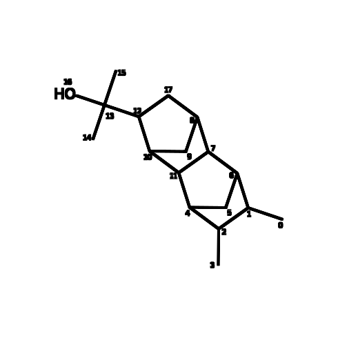 CC1C(C)C2CC1C1C3CC(C21)C(C(C)(C)O)C3